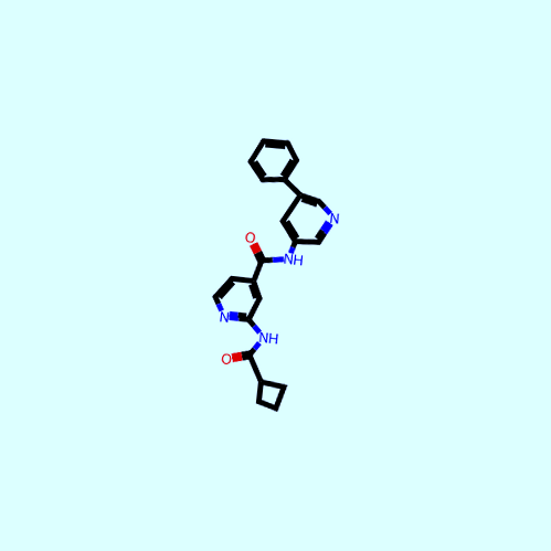 O=C(Nc1cncc(-c2ccccc2)c1)c1ccnc(NC(=O)C2CCC2)c1